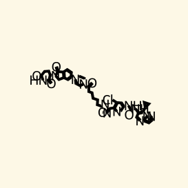 O=C1CCC(N2Cc3cc(N4CCN(C(=O)CCCCCc5nc(-c6ncc(NC(=O)Nc7cnc8ccnn8c7C7CC7)cc6Cl)no5)CC4)ccc3C2=O)C(=O)N1